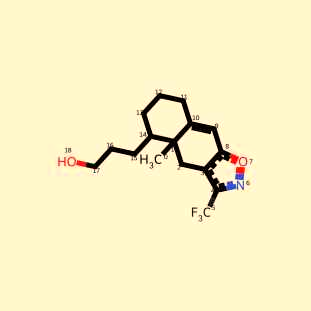 CC12Cc3c(C(F)(F)F)noc3C=C1CCCC2CCCO